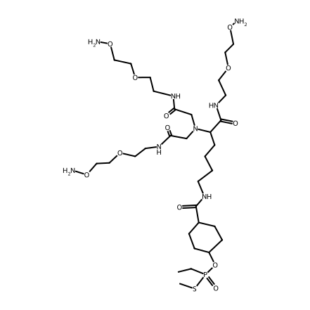 CCP(=O)(OC1CCC(C(=O)NCCCCC(C(=O)NCCOCCON)N(CC(=O)NCCOCCON)CC(=O)NCCOCCON)CC1)SC